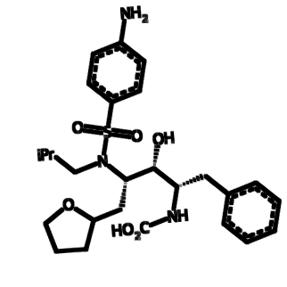 CC(C)CN([C@@H](CC1CCCO1)[C@H](O)[C@H](Cc1ccccc1)NC(=O)O)S(=O)(=O)c1ccc(N)cc1